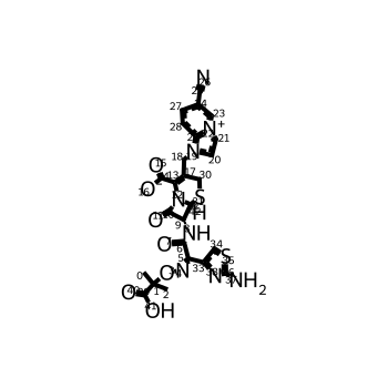 CC(C)(O/N=C(\C(=O)N[C@@H]1C(=O)N2C(C(=O)[O-])=C(Cn3cc[n+]4cc(C#N)ccc34)CS[C@@H]12)c1csc(N)n1)C(=O)O